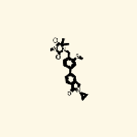 CSc1cc(-c2ccc3c(c2)CN(C2CC2)C3=O)ccc1CN1C(=O)N(C)C(=O)C1(C)C